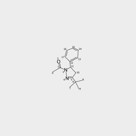 CC(=O)N1N=C(C(C)(C)C)CC1c1ccccc1